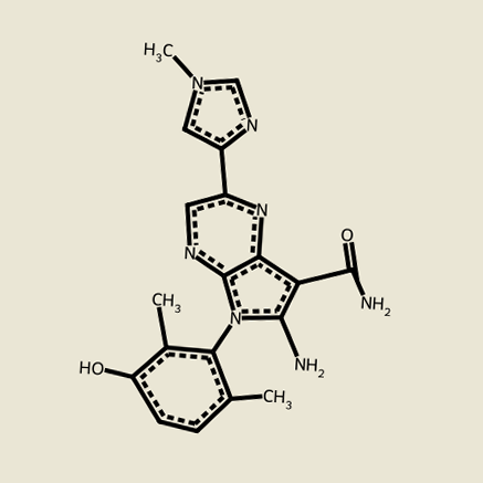 Cc1ccc(O)c(C)c1-n1c(N)c(C(N)=O)c2nc(-c3cn(C)cn3)cnc21